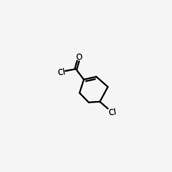 O=C(Cl)C1=CCC(Cl)CC1